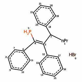 Br.CCCC(C(=C(P)c1ccccc1)c1ccccc1)c1ccccc1